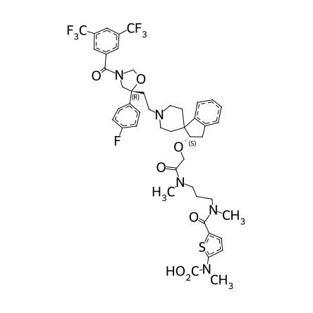 CN(CCCN(C)C(=O)c1ccc(N(C)C(=O)O)s1)C(=O)CO[C@H]1Cc2ccccc2C12CCN(CC[C@@]1(c3ccc(F)cc3)CN(C(=O)c3cc(C(F)(F)F)cc(C(F)(F)F)c3)CO1)CC2